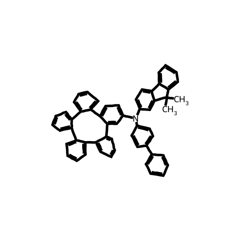 CC1(C)c2ccccc2-c2ccc(N(c3ccc(-c4ccccc4)cc3)c3ccc4c5ccccc5c5ccccc5c5ccccc5c5ccccc5c4c3)cc21